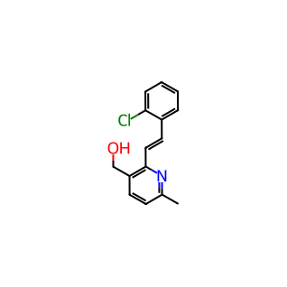 Cc1ccc(CO)c(C=Cc2ccccc2Cl)n1